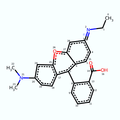 CC/N=c1\ccc2c(-c3ccccc3C(=O)O)c3ccc(N(C)C)cc3oc-2c1